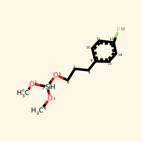 CO[SiH](OC)OCCCc1ccc(F)cc1